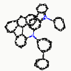 c1ccc(-c2cccc(N(c3ccc4c5ccccc5n(-c5ccccc5)c4c3)c3cccc4c3-c3c5ccccc5cc5cccc-4c35)c2)cc1